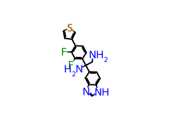 NCC(N)(c1ccc2[nH]cnc2c1)c1ccc(-c2ccsc2)c(F)c1F